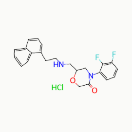 Cl.O=C1COC(CNCCc2cccc3ccccc23)CN1c1cccc(F)c1F